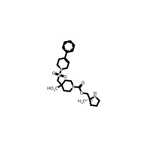 C[C@@]1(COC(=O)N2CCC(CS(=O)(=O)N3CC=C(c4ccccc4)CC3)(C(=O)O)CC2)CCCN1